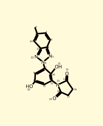 Cc1ccc2nn(-c3cc(O)cc(N4C(=O)CCC4=O)c3O)nc2c1